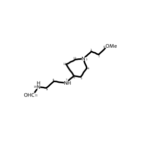 COCCN1CCC(NCCNC=O)CC1